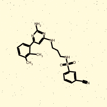 Cc1cccc(-c2cc(NCCCNS(=O)(=O)c3cccc(C#N)c3)nc(N)n2)c1C